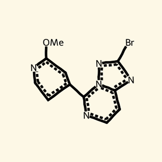 COc1cc(-c2nccc3nc(Br)nn23)ccn1